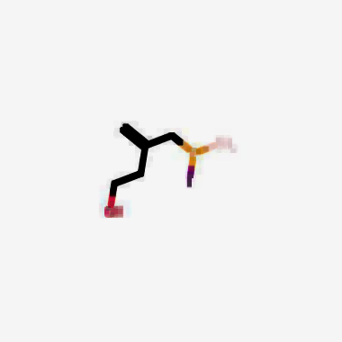 BP(I)CC(=C)CCO